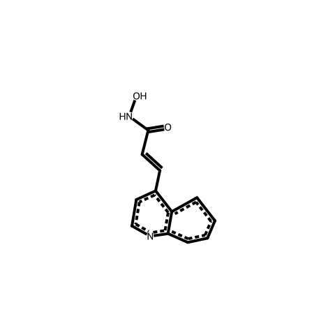 O=C(/C=C/c1ccnc2ccccc12)NO